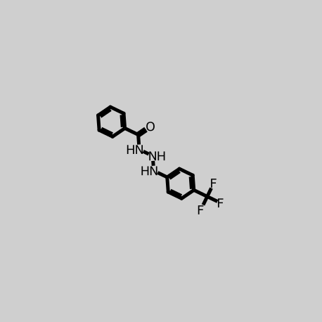 O=C(NNNc1ccc(C(F)(F)F)cc1)c1ccccc1